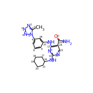 Cc1nnnn1-c1cccc(Nc2nc(NC3CCCCC3)ncc2C(N)=O)c1